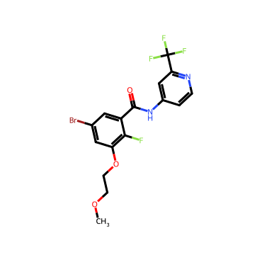 COCCOc1cc(Br)cc(C(=O)Nc2ccnc(C(F)(F)F)c2)c1F